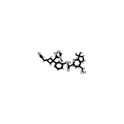 Cn1cnnc1C1(c2cccc(NC(=O)c3cc(CO)c4c(n3)C(C)(C)CC4)c2)CC(CC#N)C1